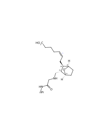 CCCNC(=O)CNC[C@@H]1[C@@H](C/C=C\CCCC(=O)O)[C@H]2CC[C@@H]1O2